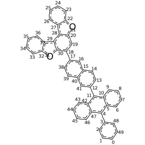 c1ccc(-c2c3ccccc3c(-c3ccc4cc(-c5cc6oc7ccccc7c6c6c5oc5ccccc56)ccc4c3)c3ccccc23)cc1